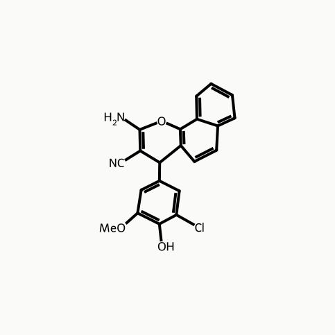 COc1cc(C2C(C#N)=C(N)Oc3c2ccc2ccccc32)cc(Cl)c1O